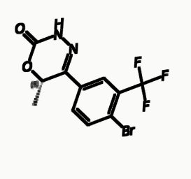 C[C@@H]1OC(=O)NN=C1c1ccc(Br)c(C(F)(F)F)c1